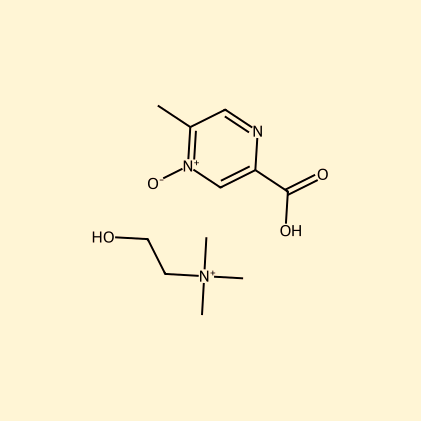 C[N+](C)(C)CCO.Cc1cnc(C(=O)O)c[n+]1[O-]